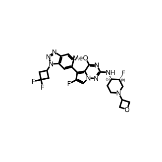 COc1nc(N[C@H]2CCN(C3COC3)C[C@H]2F)nn2cc(F)c(-c3ccc4nnn(C5CC(F)(F)C5)c4c3)c12